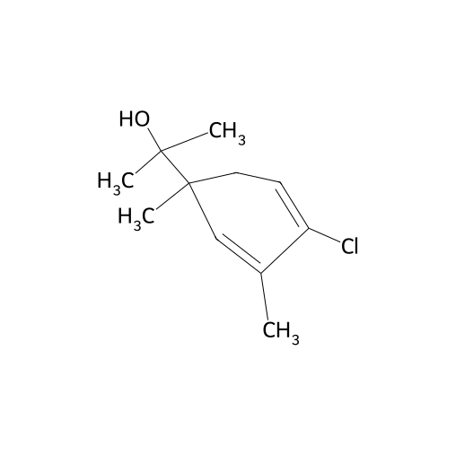 CC1=CC(C)(C(C)(C)O)CC=C1Cl